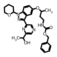 CC(CCNC(=O)OCc1ccccc1)Oc1ccc2c(c1)c(-c1cncc(C(C)O)n1)nn2C1CCCCO1